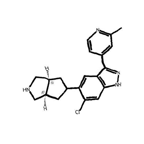 Cc1cc(-c2n[nH]c3cc(Cl)c(C4C[C@H]5CNC[C@H]5C4)cc23)ccn1